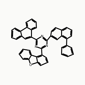 c1ccc(-c2cccc3ccc(-c4nc(-c5cc6ccccc6c6ccccc56)nc(-c5cccc6oc7ccccc7c56)n4)cc23)cc1